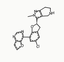 Cn1nc2c(c1[C@H]1Cc3cc(Cl)cc(-c4ncnc5ccoc45)c3O1)CNCC2